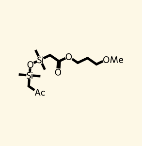 COCCCOC(=O)C[Si](C)(C)O[Si](C)(C)CC(C)=O